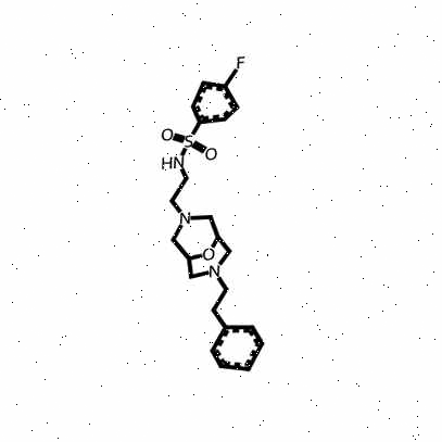 O=S(=O)(NCCN1CC2CN(CCc3ccccc3)CC(C1)O2)c1ccc(F)cc1